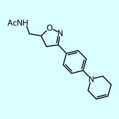 CC(=O)NCC1CC(c2ccc(N3CC=CCC3)cc2)=NO1